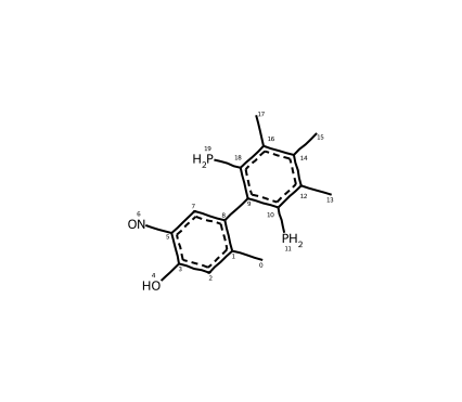 Cc1cc(O)c(N=O)cc1-c1c(P)c(C)c(C)c(C)c1P